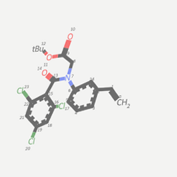 C=Cc1cccc(N(CC(=O)OC(C)(C)C)C(=O)c2c(Cl)cc(Cl)cc2Cl)c1